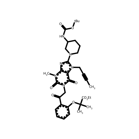 CC#CCn1c(N2CCCC(NC(=O)OC(C)(C)C)C2)nc2c1c(=O)n(CC(=O)c1ccccc1OC(C)(C)C(=O)OCC)c(=O)n2C